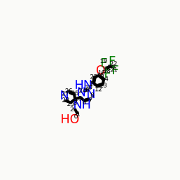 OCCNC1(c2ccnc(Nc3cccc(OC(F)(F)C(F)F)c3)n2)C=CN=CC1